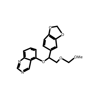 COCOCC(Oc1cccc2ncncc12)c1ccc2c(c1)OCO2